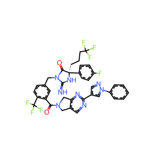 N=C1N[C@](CCCC(F)(F)F)(c2ccc(F)cc2)C(=O)N1Cc1ccc(C(F)(F)F)c(C(=O)N2Cc3cnc(-c4cnn(-c5ccccc5)c4)nc3C2)c1